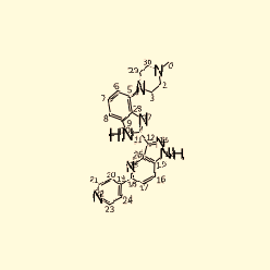 CN1CCN(c2cccc3[nH]c(-c4n[nH]c5ccc(-c6ccncc6)nc45)nc23)CC1